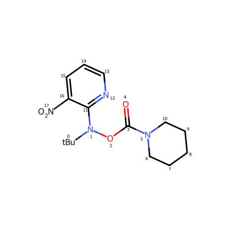 CC(C)(C)N(OC(=O)N1CCCCC1)c1ncccc1[N+](=O)[O-]